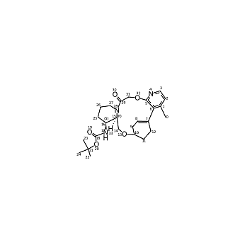 Cc1ccnc2c1C1=CCC(CC1)OC[C@H]1[C@@H](NC(=O)OC(C)(C)C)CCCN1C(=O)CO2